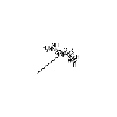 CCCCCCCCCCCCCC(=O)N[C@@H](CCCNC(=N)N)C(=O)N[C@@H](CC(C)C)B1O[C@@H]2C[C@@H]3C[C@@H](C3(C)C)[C@]2(C)O1